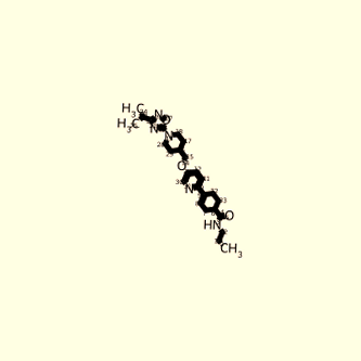 CCCNC(=O)C1CC=C(c2ccc(OCC3CCN(c4nc(C(C)C)no4)CC3)cn2)CC1